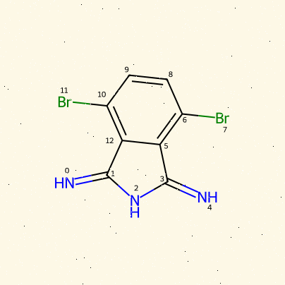 N=C1NC(=N)c2c(Br)ccc(Br)c21